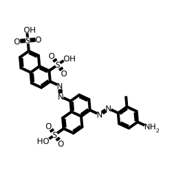 Cc1cc(N)ccc1N=Nc1ccc(N=Nc2ccc3ccc(S(=O)(=O)O)cc3c2S(=O)(=O)O)c2cc(S(=O)(=O)O)ccc12